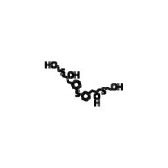 OCCSCC(O)Cc1cccc(Sc2cccc(CC(O)CSCCO)c2)c1